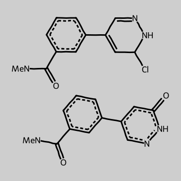 CNC(=O)c1cccc(-c2cn[nH]c(=O)c2)c1.CNC(=O)c1cccc(C2=CC(Cl)NN=C2)c1